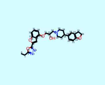 CCc1nnc(-c2cc3c(OC[C@@H](O)CN4CCC(c5ccc6c(c5)CCO6)CC4)cccc3o2)o1